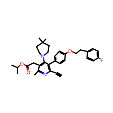 C#Cc1nc(C)c(CC(=O)OC(C)C)c(N2CCC(C)(C)CC2)c1-c1ccc(OCCc2ccc(F)cc2)cc1